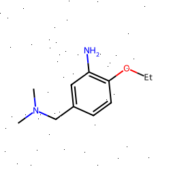 CCOc1ccc(CN(C)C)cc1N